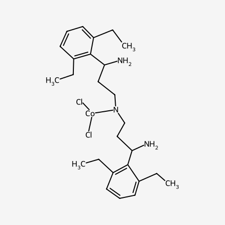 CCc1cccc(CC)c1C(N)CC[N](CCC(N)c1c(CC)cccc1CC)[Co]([Cl])[Cl]